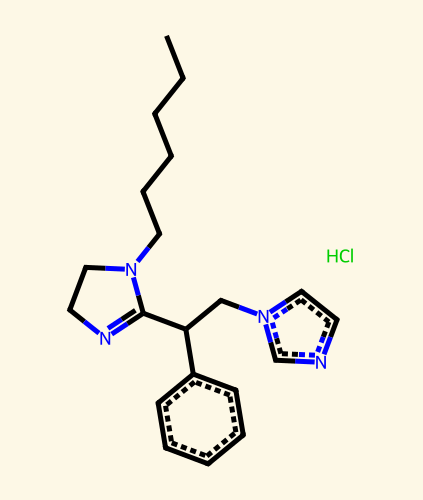 CCCCCCN1CCN=C1C(Cn1ccnc1)c1ccccc1.Cl